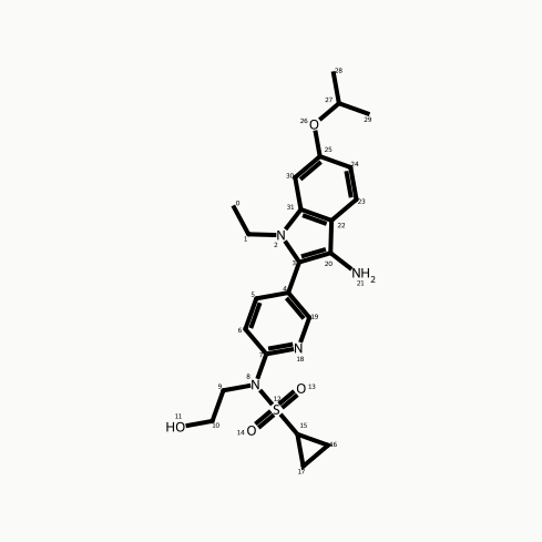 CCn1c(-c2ccc(N(CCO)S(=O)(=O)C3CC3)nc2)c(N)c2ccc(OC(C)C)cc21